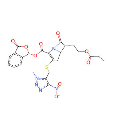 CCC(=O)OCCC1C(=O)N2C(C(=O)OC3OC(=O)c4ccccc43)=C(SCc3c([N+](=O)[O-])nnn3C)CC12